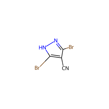 N#Cc1c(Br)n[nH]c1Br